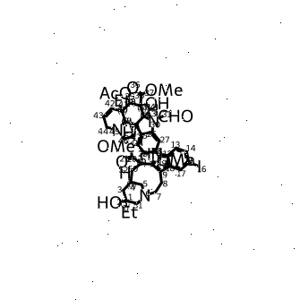 CC[C@]1(O)C[C@@H]2CN(CCc3c([nH]c4ccc(I)cc34)[C@@](C(=O)OC)(C3C=C4C(=CC3OC)N(C=O)[C@H]3[C@@](O)(C(=O)OC)[C@H](OC(C)=O)[C@]5(CC)C=CCN6CC[C@]43[C@@H]65)C2)C1